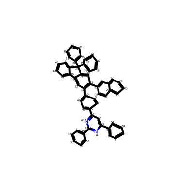 c1ccc(-c2cc(-c3ccc(-c4cc5c(cc4-c4ccc6ccccc6c4)C(c4ccccc4)(c4ccccc4)c4ccccc4-5)cc3)nc(-c3ccccc3)n2)cc1